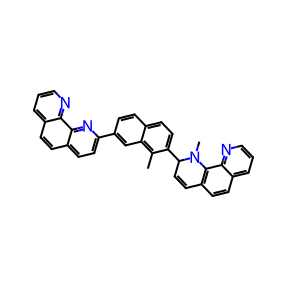 Cc1c(C2C=Cc3ccc4cccnc4c3N2C)ccc2ccc(-c3ccc4ccc5cccnc5c4n3)cc12